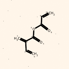 C=CC(=C)C(=O)OC(=O)C=C